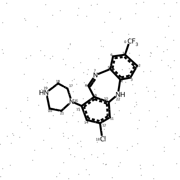 FC(F)(F)c1ccc2c(c1)N=Cc1c(cc(Cl)cc1N1CCNCC1)N2